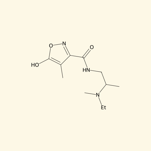 CCN(C)C(C)CNC(=O)c1noc(O)c1C